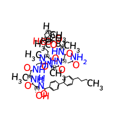 CCCCc1ccc(-c2ccc(C(=O)N[C@H](CO)C(=O)N[C@H](C)C(=O)NCC(=O)N(C)[C@@H](CCC(=O)O)C(=O)N[C@@H](C)C(=O)N[C@@H](CC(N)=O)C(=O)N[C@@H](C)B3OC4C[C@@H]5C[C@@H](C5(C)C)[C@]4(C)O3)cc2)cc1